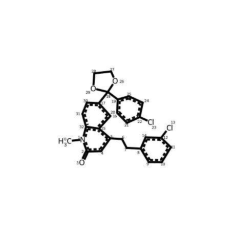 Cn1c(=O)cc(CCc2cccc(Cl)c2)c2cc(C3(c4ccc(Cl)cc4)OCCO3)ccc21